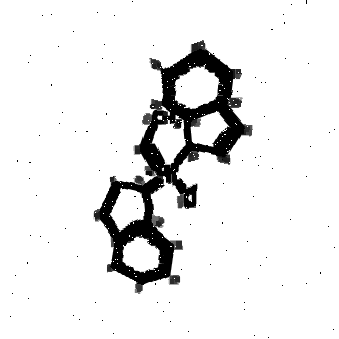 C[CH]=[Hf]([Cl])([CH]1C=Cc2ccccc21)[CH]1C=Cc2ccccc21